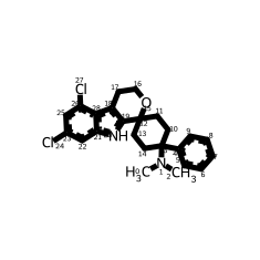 CN(C)C1(c2ccccc2)CCC2(CC1)OCCc1c2[nH]c2cc(Cl)cc(Cl)c12